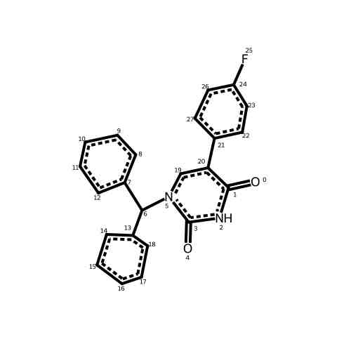 O=c1[nH]c(=O)n(C(c2ccccc2)c2ccccc2)cc1-c1ccc(F)cc1